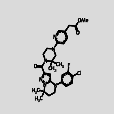 COC(=O)Cc1ccc(N2CCN(C(=O)c3cc4n(n3)C(C)(C)CCN4c3ccc(Cl)c(F)c3)C(C)(C)C2)nc1